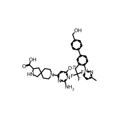 Cc1ccn(-c2ccc(-c3ccc(CO)cc3)cc2[C@@H](Oc2cc(N3CCC4(CC3)CNC(C(=O)O)C4)nc(N)n2)C(F)(F)F)n1